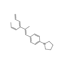 C=C/C=C(\C=C/C)C(/C)=C/c1ccc(N2CCCC2)cc1